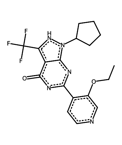 CCOc1cnccc1-c1nc2n(C3CCCC3)[nH]c(C(F)(F)F)c-2c(=O)n1